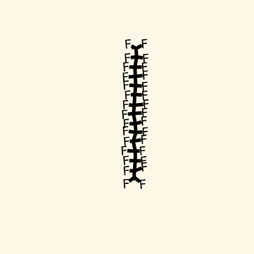 F[C](F)C(F)(F)C(F)(F)C(F)(F)C(F)(F)C(F)(F)C(F)(F)C(F)(F)C(F)(F)C(F)(F)C(F)(F)C(F)(F)C(F)(F)C(F)(F)[C](F)F